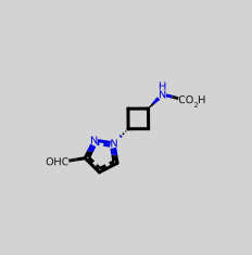 O=Cc1ccn([C@H]2C[C@H](NC(=O)O)C2)n1